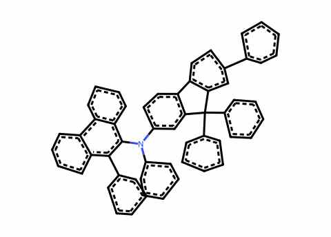 c1ccc(-c2ccc3c(c2)C(c2ccccc2)(c2ccccc2)c2cc(N(c4ccccc4)c4c(-c5ccccc5)c5ccccc5c5ccccc45)ccc2-3)cc1